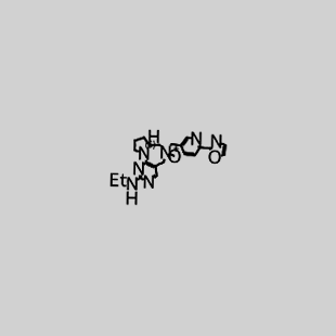 CCNc1ncc2c(n1)N1CCC[C@H]1C[N+]([O-])(Cc1ccc(-c3ncco3)nc1)C2